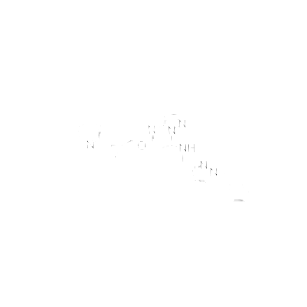 c1ccc(Cn2ccc(CNc3cc(OC[C@H]4C[C@@H]4c4ccccn4)nc4ccnn34)n2)cc1